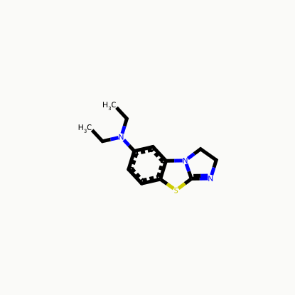 CCN(CC)c1ccc2c(c1)N1CCN=C1S2